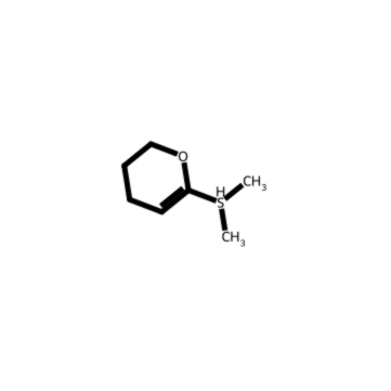 C[SH](C)C1=CCCCO1